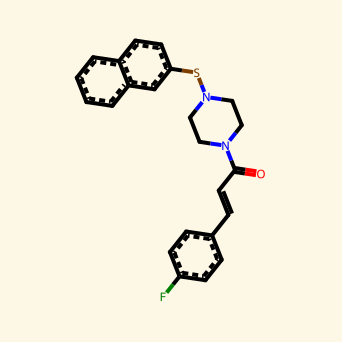 O=C(/C=C/c1ccc(F)cc1)N1CCN(Sc2ccc3ccccc3c2)CC1